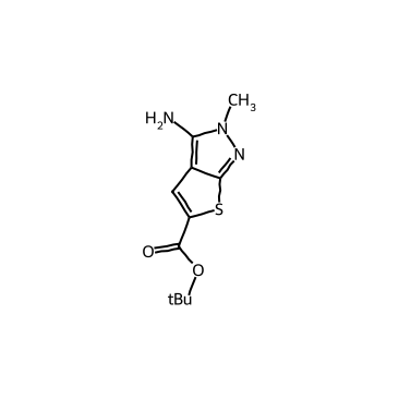 Cn1nc2sc(C(=O)OC(C)(C)C)cc2c1N